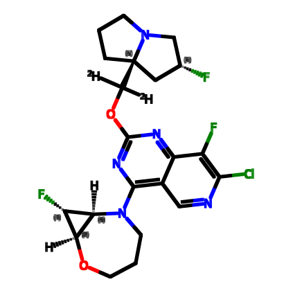 [2H]C([2H])(Oc1nc(N2CCCO[C@H]3[C@H](F)[C@H]32)c2cnc(Cl)c(F)c2n1)[C@@]12CCCN1C[C@H](F)C2